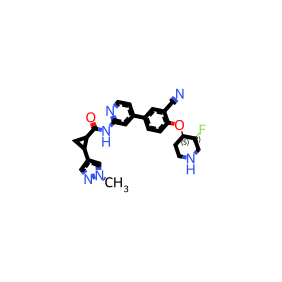 Cn1cc(C2CC2C(=O)Nc2cc(-c3ccc(O[C@H]4CCNC[C@H]4F)c(C#N)c3)ccn2)cn1